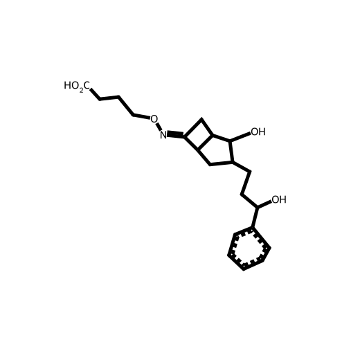 O=C(O)CCCON=C1CC2C1CC(CCC(O)c1ccccc1)C2O